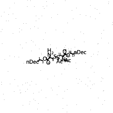 CCCCCCCCCCCCOC(=O)C(N)CSSC[C@@H](C(=O)OCCCCCCCCCCCC)N(C(C)=O)C(C)=O